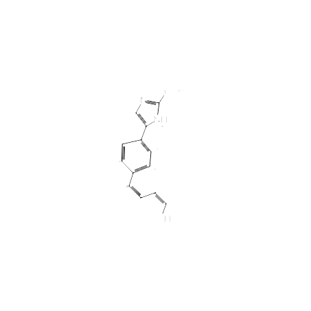 C/C=C\C=C/c1ccc(-c2cnc(CCCCCCC)[nH]2)cc1